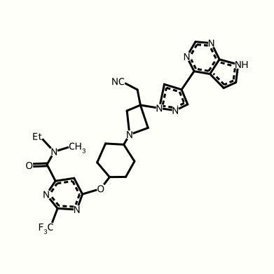 CCN(C)C(=O)c1cc(OC2CCC(N3CC(CC#N)(n4cc(-c5ncnc6[nH]ccc56)cn4)C3)CC2)nc(C(F)(F)F)n1